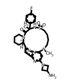 CN1CCCCS(=O)(=O)NC(C)(c2ccc(F)cc2)C(=O)N2CCCC[C@H]2c2cc3nc(N4CC(N)C4)cc1n3n2